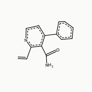 C=Cc1nccc(-c2ccccc2)c1C(N)=O